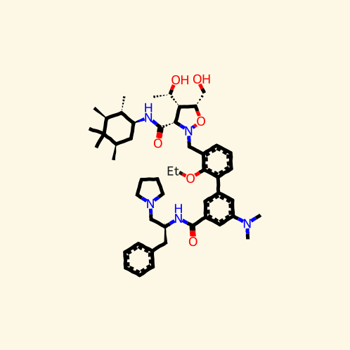 CCOc1c(CN2O[C@@H](CO)[C@@H]([C@H](C)O)[C@H]2C(=O)N[C@H]2C[C@@H](C)C(C)(C)[C@@H](C)[C@@H]2C)cccc1-c1cc(C(=O)N[C@@H](Cc2ccccc2)CN2CCCC2)cc(N(C)C)c1